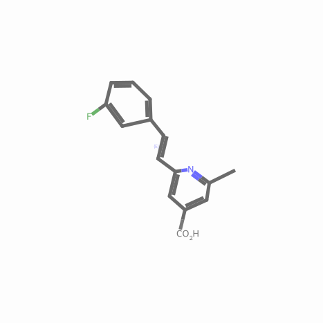 Cc1cc(C(=O)O)cc(/C=C/c2cccc(F)c2)n1